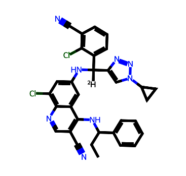 [2H]C(Nc1cc(Cl)c2ncc(C#N)c(NC(CC)c3ccccc3)c2c1)(c1cn(C2CC2)nn1)c1cccc(C#N)c1Cl